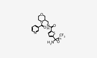 NC1(c2ccc(C(=O)NCC3COCCN3C(=O)c3cccnc3)s2)O[C@H]1C(F)(F)F